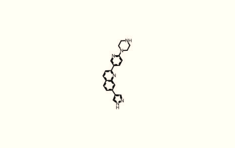 c1cc2ccc(-c3ccc(N4CCNCC4)nc3)nc2cc1-c1cn[nH]c1